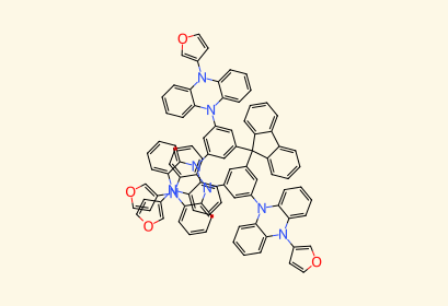 c1ccc2c(c1)-c1ccccc1C2(c1cc(N2c3ccccc3N(c3ccoc3)c3ccccc32)cc(N2c3ccccc3N(c3ccoc3)c3ccccc32)c1)c1cc(N2c3ccccc3N(c3ccoc3)c3ccccc32)cc(N2c3ccccc3N(c3ccoc3)c3ccccc32)c1